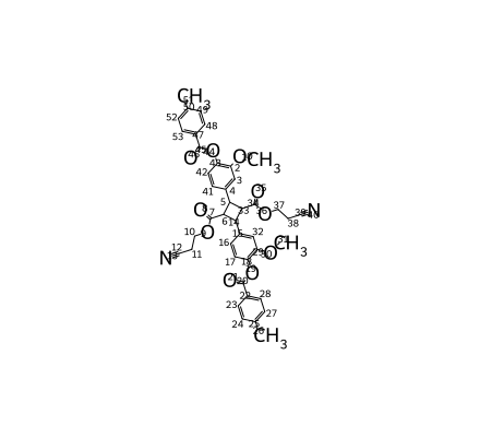 COc1cc(C2C(C(=O)OCCC#N)C(c3ccc(OC(=O)c4ccc(C)cc4)c(OC)c3)C2C(=O)OCCC#N)ccc1OC(=O)c1ccc(C)cc1